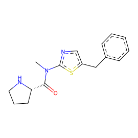 CN(C(=O)[C@@H]1CCCN1)c1ncc(Cc2ccccc2)s1